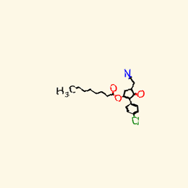 CCCCCCCC(=O)OC1=C(c2ccc(Cl)cc2)C(=O)C(CC#N)C1